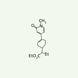 CCOC(=O)C(CC)C1CC=C(c2ccn(C)c(=O)c2)CC1